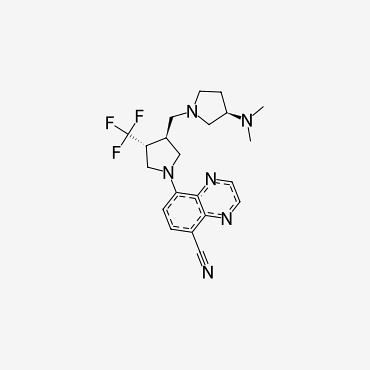 CN(C)[C@@H]1CCN(C[C@H]2CN(c3ccc(C#N)c4nccnc34)C[C@@H]2C(F)(F)F)C1